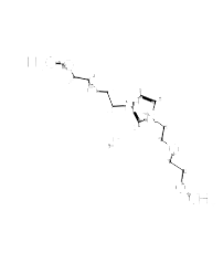 COCCOCCn1cc[n+](CCOCCOC)c1.[I-]